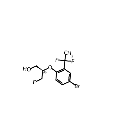 CC(F)(F)c1cc(Br)ccc1O[C@H](CO)CF